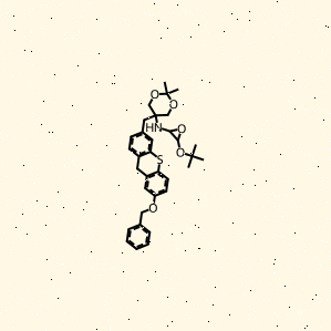 CC(C)(C)OC1OC1NC1(Cc2ccc3c(c2)Sc2ccc(OCc4ccccc4)cc2C3)COC(C)(C)OC1